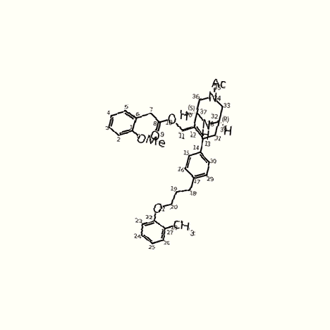 COc1ccccc1CC(=O)OCC1=C(c2ccc(CCCOc3ccccc3C)cc2)C[C@@H]2CN(C(C)=O)C[C@H]1N2